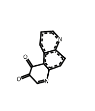 O=C1C=Nc2ccc3ncccc3c2C1=O